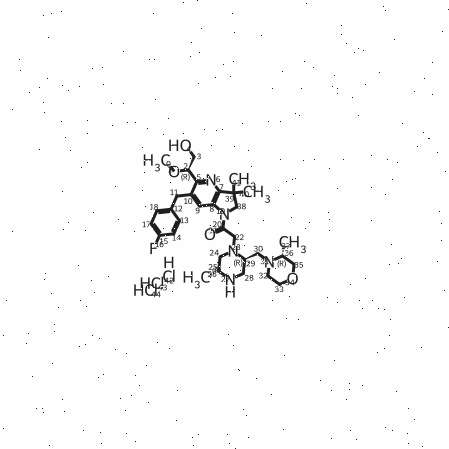 CO[C@@H](CO)c1nc2c(cc1Cc1ccc(F)cc1)N(C(=O)CN1C[C@@H](C)NC[C@@H]1CN1CCOC[C@H]1C)CC2(C)C.Cl.Cl.Cl